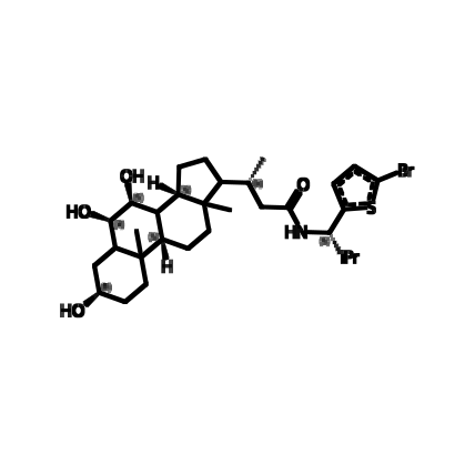 CC(C)[C@H](NC(=O)C[C@@H](C)C1CC[C@H]2C3[C@H](O)[C@H](O)C4C[C@H](O)CCC4(C)[C@H]3CCC12C)c1ccc(Br)s1